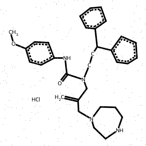 C=C(CN1CCCNCC1)CN(CCC(c1ccccc1)c1ccccc1)C(=O)Nc1ccc(OC)cc1.Cl